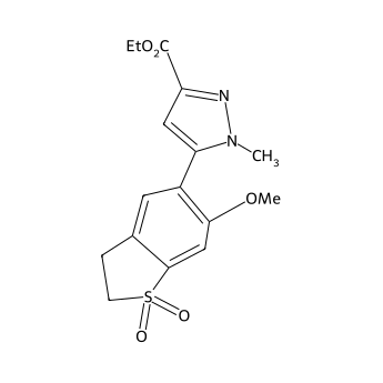 CCOC(=O)c1cc(-c2cc3c(cc2OC)S(=O)(=O)CC3)n(C)n1